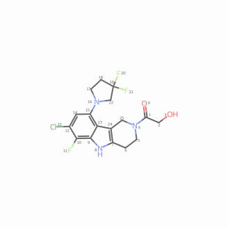 O=C(CO)N1CCc2[nH]c3c(F)c(Cl)cc(N4CCC(F)(F)C4)c3c2C1